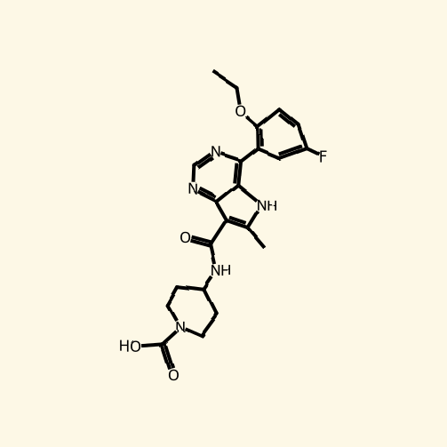 CCOc1ccc(F)cc1-c1ncnc2c(C(=O)NC3CCN(C(=O)O)CC3)c(C)[nH]c12